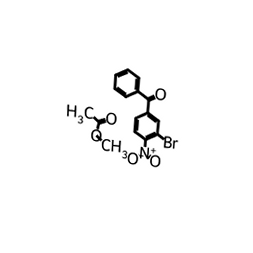 COC(C)=O.O=C(c1ccccc1)c1ccc([N+](=O)[O-])c(Br)c1